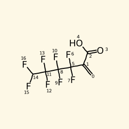 C=C(C(=O)O)C(F)(F)C(F)(F)C(F)(F)C(F)F